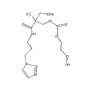 CCCOCCOC(=O)OCC(C)(CO)C(=O)NCCCn1ccnc1